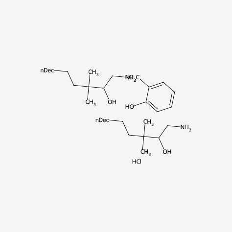 CCCCCCCCCCCCC(C)(C)C(O)CN.CCCCCCCCCCCCC(C)(C)C(O)CN.Cl.O=C(O)c1ccccc1O